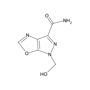 NC(=O)c1nn(CO)c2ocnc12